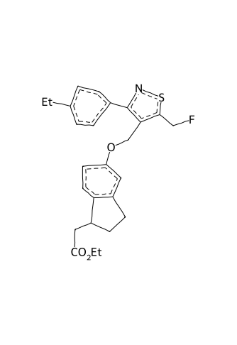 CCOC(=O)CC1CCc2cc(OCc3c(-c4ccc(CC)cc4)nsc3CF)ccc21